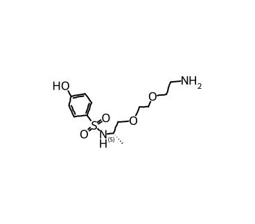 C[C@@H](COCCOCCN)NS(=O)(=O)c1ccc(O)cc1